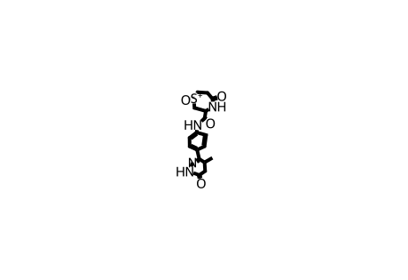 CC1CC(=O)NN=C1c1ccc(NC(=O)C2C[S+]([O-])CCC(=O)N2)cc1